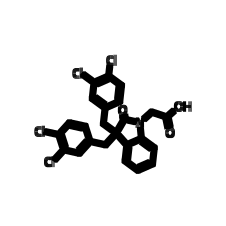 O=C(O)CN1C(=O)C(Cc2ccc(Cl)c(Cl)c2)(Cc2ccc(Cl)c(Cl)c2)c2ccccc21